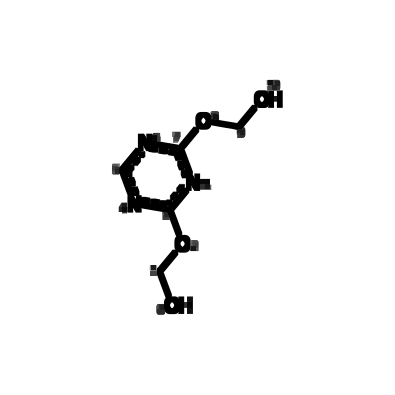 OCOc1ncnc(OCO)n1